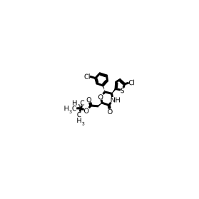 CC(C)(C)OC(=O)C[C@H]1O[C@H](c2cccc(Cl)c2)[C@@H](c2ccc(Cl)s2)NC1=O